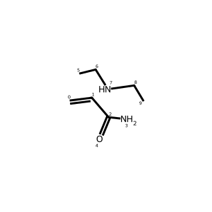 C=CC(N)=O.CCNCC